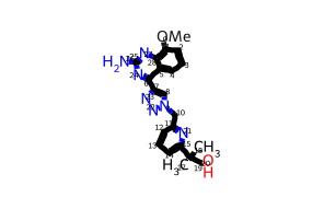 COc1cccc2c(-c3cn(Cc4cccc(C(C)(C)CO)n4)nn3)nc(N)nc12